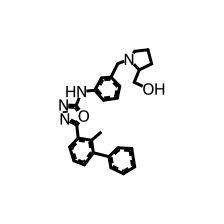 Cc1c(-c2ccccc2)cccc1-c1nnc(Nc2cccc(CN3CCCC3CO)c2)o1